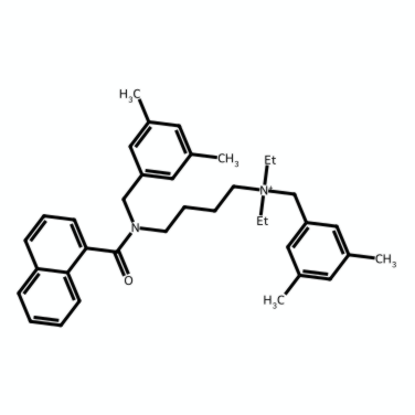 CC[N+](CC)(CCCCN(Cc1cc(C)cc(C)c1)C(=O)c1cccc2ccccc12)Cc1cc(C)cc(C)c1